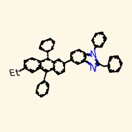 CCc1ccc2c(-c3ccccc3)c3cc(-c4ccc5c(c4)nc(-c4ccccc4)n5-c4ccccc4)ccc3c(-c3ccccc3)c2c1